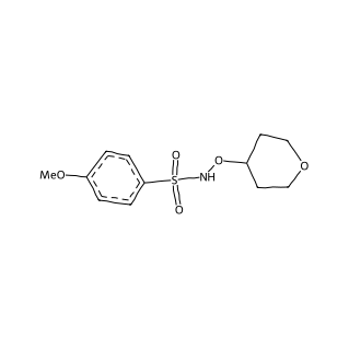 COc1ccc(S(=O)(=O)NOC2CCOCC2)cc1